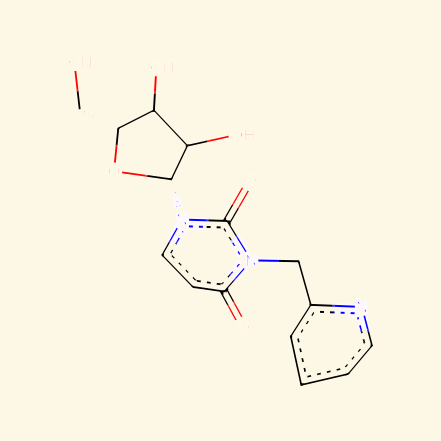 O=c1ccn([C@@H]2O[C@H](CO)C(O)C2O)c(=O)n1Cc1ccccn1